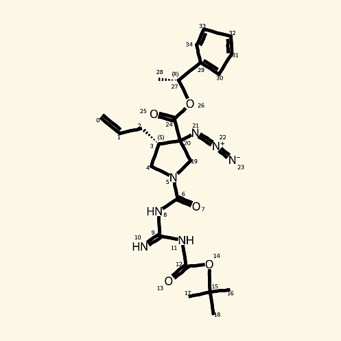 C=CC[C@H]1CN(C(=O)NC(=N)NC(=O)OC(C)(C)C)CC1(N=[N+]=[N-])C(=O)O[C@H](C)c1ccccc1